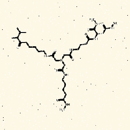 BNC(=O)CCCCNC(=O)CN(CC(=O)NCCCCCC(=O)C(C)C(C)C)CC(=O)NCCCC(=O)N[C@@H](CC(=O)NB)C(=O)NB